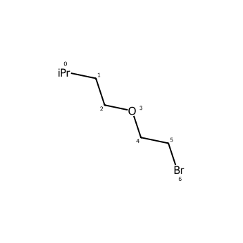 CC(C)CCOCCBr